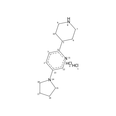 Cl.Cl.c1cc(C2CCNCC2)ncc1N1CCCC1